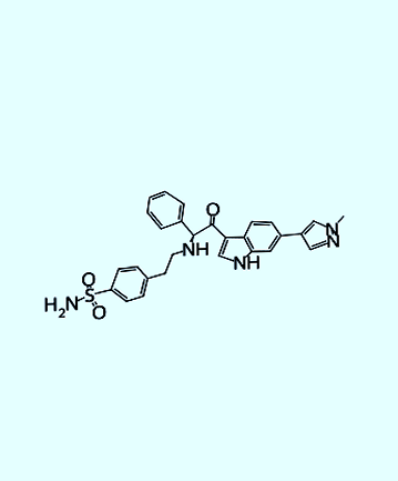 Cn1cc(-c2ccc3c(C(=O)[C@@H](NCCc4ccc(S(N)(=O)=O)cc4)c4ccccc4)c[nH]c3c2)cn1